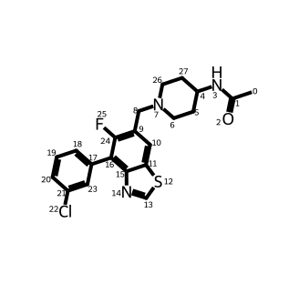 CC(=O)NC1CCN(Cc2cc3scnc3c(-c3cccc(Cl)c3)c2F)CC1